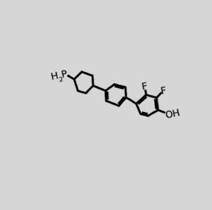 Oc1ccc(-c2ccc(C3CCC(P)CC3)cc2)c(F)c1F